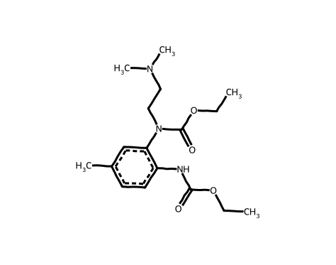 CCOC(=O)Nc1ccc(C)cc1N(CCN(C)C)C(=O)OCC